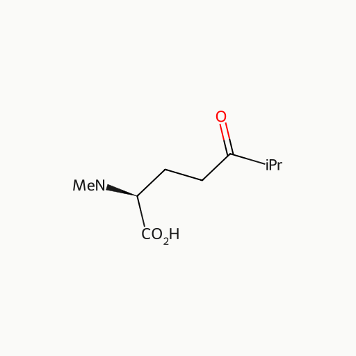 CN[C@@H](CCC(=O)C(C)C)C(=O)O